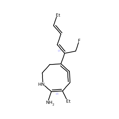 CCC=C/C=C(\CF)C1=C=C/C(CC)=C(/N)NCC1